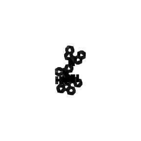 C1=Cc2c(ccc3c2c2c4ccccc4ccc2n3-c2ccc3c(c2)c2ccccc2n3C2Nc3c(c4c(c5ccccc35)C=CCC4)C(c3ccccc3)N2)CC1